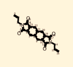 C=CCn1c(=O)c2cc3cc4c(=O)n(CC=C)c(=O)c4cc3cc2c1=O